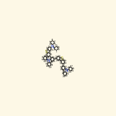 c1ccc(N(c2ccccc2)c2ccc3sc4ccc(-c5cc(-c6ccc7sc8ccc(-c9ccc%10c%11ccccc%11n(-c%11ccccc%11)c%10c9)cc8c7c6)cc6c7ccccc7n(-c7ccccc7)c56)cc4c3c2)cc1